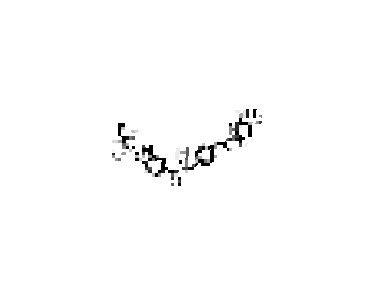 Nc1ccnc(OCc2ccc(CNC(=O)c3ccc(CNC(=O)C(F)(F)F)cc3)cc2)n1